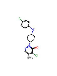 CNc1cnn(C2CCC(N(C)c3ccc(F)cc3)CC2)c(=O)c1Cl